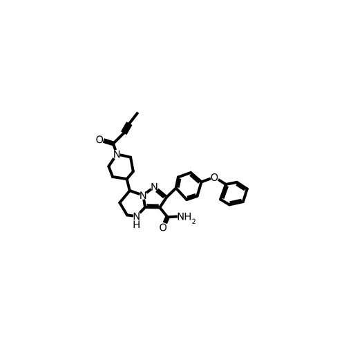 CC#CC(=O)N1CCC(C2CCNc3c(C(N)=O)c(-c4ccc(Oc5ccccc5)cc4)nn32)CC1